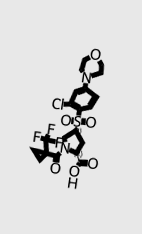 O=C(O)[C@H]1C[C@@H](S(=O)(=O)c2ccc(N3CCOCC3)cc2Cl)CN1C(=O)C1(C(F)(F)F)CC1